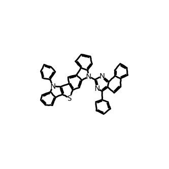 c1ccc(-c2nc(-n3c4ccccc4c4cc5c(cc43)sc3c4ccccc4n(-c4ccccc4)c53)nc3c2ccc2ccccc23)cc1